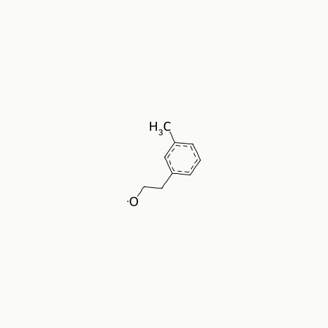 Cc1cccc(CC[O])c1